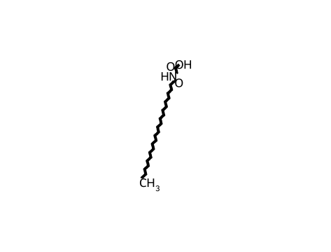 CCCCCCCCCCCCCCCCCCCCCCCCC(=O)NCC(=O)O